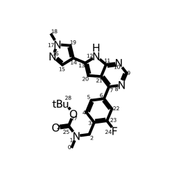 CN(Cc1ccc(-c2ncnc3[nH]c(-c4cnn(C)c4)cc23)cc1F)C(=O)OC(C)(C)C